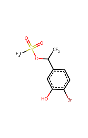 O=S(=O)(OC(c1ccc(Br)c(O)c1)C(F)(F)F)C(F)(F)F